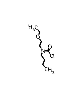 CCCCN(CCOCC)C(=O)Cl